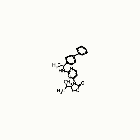 CC(C)C1COC(=O)N1c1ccnc(N[C@@H](C)c2ccc(-c3ccccc3)cc2)n1